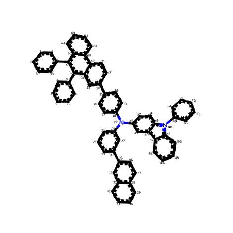 c1ccc(-c2c(-c3ccccc3)c3cc(-c4ccc(N(c5cccc(-c6ccc7ccccc7c6)c5)c5ccc6c(c5)c5ccccc5n6-c5ccccc5)cc4)ccc3c3ccccc23)cc1